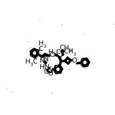 Cc1cccc(C)c1-c1cc2nc(n1)NS(=O)(=O)c1cccc(c1)C(C1CC(OCc3ccccc3)C1)[C@H](CC(C)(C)C)CO2